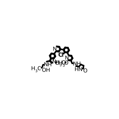 COc1nc(-c2cccc(-c3ccnc(-c4ccc5c(CNCC(C)O)cn(C)c5c4)c3Cl)c2Cl)ccc1CNCC1CCC(=O)N1